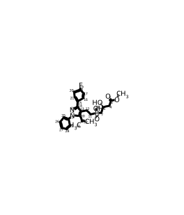 COC(=O)C[C@H](O)CP(=O)(O)CCc1c(-c2ccc(F)cc2)nn(-c2ccccc2)c1C(C)C